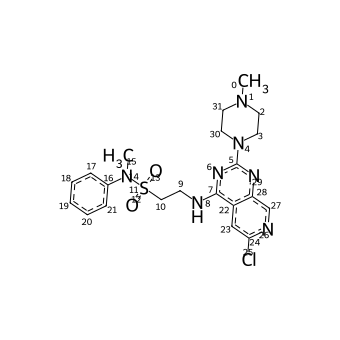 CN1CCN(c2nc(NCCS(=O)(=O)N(C)c3ccccc3)c3cc(Cl)ncc3n2)CC1